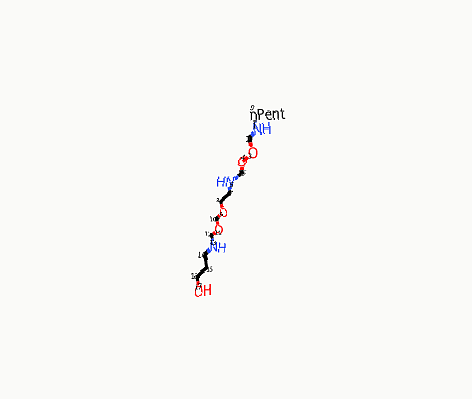 CCCCCNCOOCNCCOCOCNCCCO